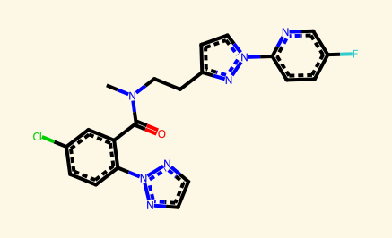 CN(CCc1ccn(-c2ccc(F)cn2)n1)C(=O)c1cc(Cl)ccc1-n1nccn1